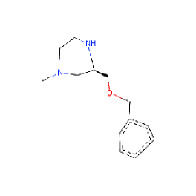 CN1CCN[C@@H](COCc2ccccc2)C1